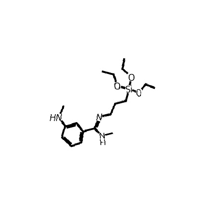 CCO[Si](CCCN=C(NC)c1cccc(NC)c1)(OCC)OCC